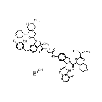 CNC(C)C(=O)NC(C(=O)N1Cc2ccc(NC(=O)CNC(=O)C3(C)CN(C(=O)CN4C[C@@H](C)NC[C@@H]4CN4CCOC[C@H]4C)c4cc(Cc5ccc(F)cc5)ccc43)cc2[C@H]1C(=O)Nc1c(F)cccc1F)C1CCOCC1.Cl.Cl.Cl